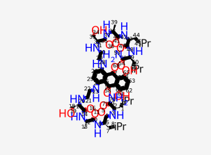 CC(C)C[C@H](NC(=O)[C@H](CC(C)C)NC(=O)[C@H](C)NC(=O)[C@H](CO)NCCNc1ccc(NCCN[C@@H](CO)C(=O)N[C@@H](C)C(=O)N[C@@H](CC(C)C)C(=O)N[C@@H](CC(C)C)C(N)=O)c2c1C(=O)c1c(O)ccc(O)c1C2=O)C(N)=O